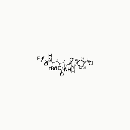 CC(C)(C)OC(=O)NC(CCCCNC(=O)C(F)(F)F)C(=O)Nc1ccc(CCl)cc1